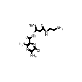 CNC(CNC(=O)c1nc(Cl)c(N)nc1N)CC(=O)NCCN